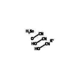 N#CO.N#CO.N#C[O-].[K+].[SeH2]